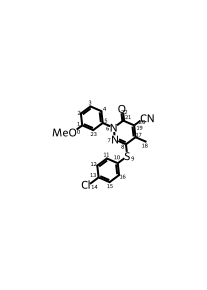 COc1cccc(-n2nc(Sc3ccc(Cl)cc3)c(C)c(C#N)c2=O)c1